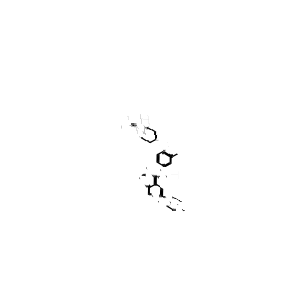 Cc1cc(Nc2ncnc3cnc(N4CCN(C)CC4)cc23)ccc1OC1CCN(C(=O)O)CC1